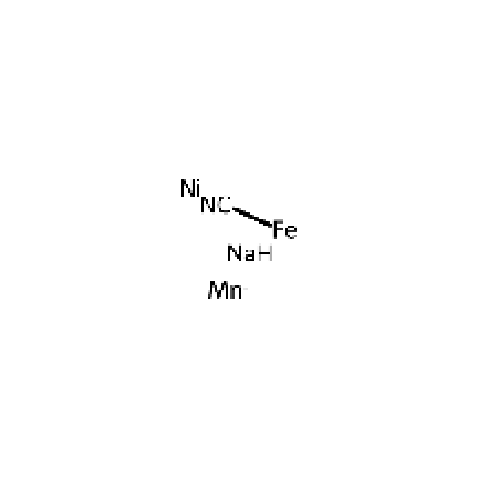 N#[C][Fe].[Mn].[NaH].[Ni]